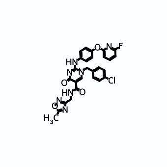 Cc1nc(CNC(=O)c2cn(Cc3ccc(Cl)cc3)c(Nc3ccc(Oc4cccc(F)n4)cc3)nc2=O)no1